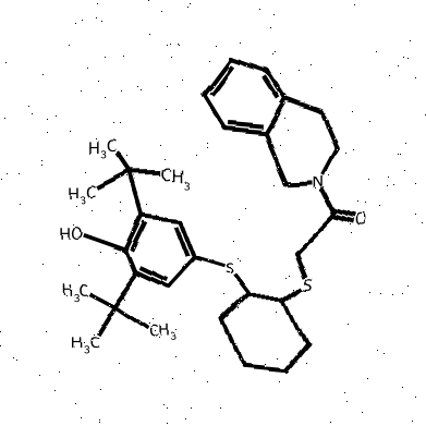 CC(C)(C)c1cc(SC2CCCCC2SCC(=O)N2CCc3ccccc3C2)cc(C(C)(C)C)c1O